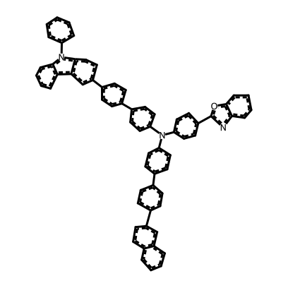 c1ccc(-n2c3ccccc3c3cc(-c4ccc(-c5ccc(N(c6ccc(-c7ccc(-c8ccc9ccccc9c8)cc7)cc6)c6ccc(-c7nc8ccccc8o7)cc6)cc5)cc4)ccc32)cc1